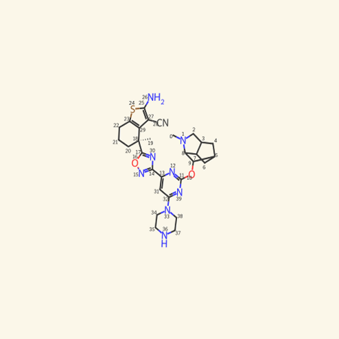 CN1CC2CC3CC2C1C3Oc1nc(-c2noc([C@@]3(C)CCCc4sc(N)c(C#N)c43)n2)cc(N2CCNCC2)n1